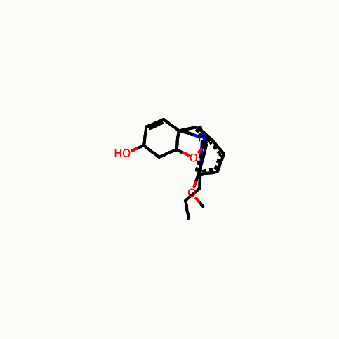 CCCN1CCC23C=CC(O)CC2Oc2c(OC)ccc(c23)C1